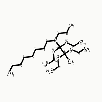 CCCCCCCCN(CCO)C(OCC)(OCC)C(C)(OCC)OCC